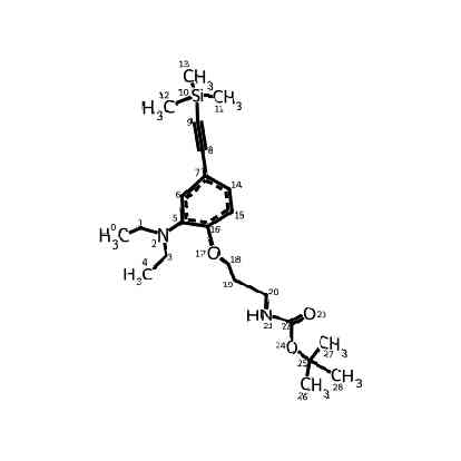 CCN(CC)c1cc(C#C[Si](C)(C)C)ccc1OCCCNC(=O)OC(C)(C)C